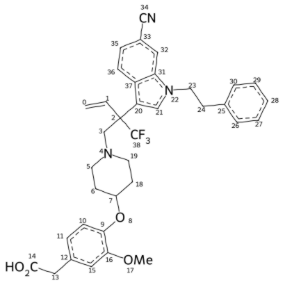 C=CC(CN1CCC(Oc2ccc(CC(=O)O)cc2OC)CC1)(c1cn(CCc2ccccc2)c2cc(C#N)ccc12)C(F)(F)F